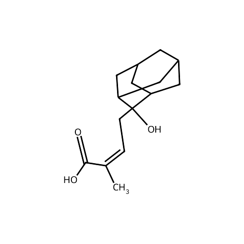 CC(=CCC1(O)C2CC3CC(C2)CC1C3)C(=O)O